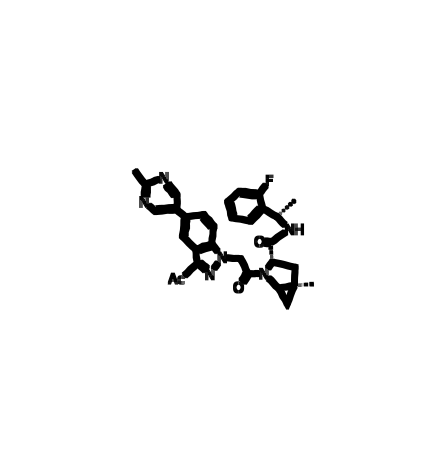 CC(=O)c1nn(CC(=O)N2C3C[C@]3(C)C[C@H]2C(=O)N[C@@H](C)c2ccccc2F)c2ccc(-c3cnc(C)nc3)cc12